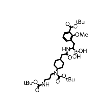 COc1c(CC(NC(=O)CC2CCC(N(CCCNC(=O)OC(C)(C)C)C(=O)OC(C)(C)C)CC2)B(O)O)cccc1C(=O)OC(C)(C)C